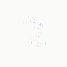 Nc1c(F)cnc(NC(=O)c2cc(NC(=O)[C@H]3[C@H](c4cc(Cl)c(Cl)c(Cl)c4)C3(Cl)Cl)ccc2Cl)c1F